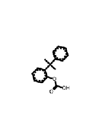 CC(C)(c1ccccc1)c1ccccc1OC(=O)O